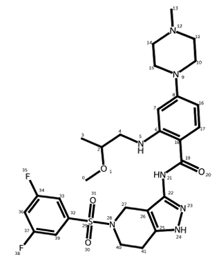 COC(C)CNc1cc(N2CCN(C)CC2)ccc1C(=O)Nc1n[nH]c2c1CN(S(=O)(=O)c1cc(F)cc(F)c1)CC2